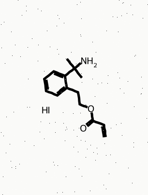 C=CC(=O)OCCc1ccccc1C(C)(C)N.I